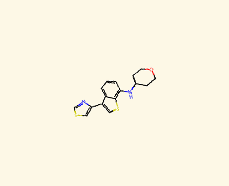 c1cc(NC2CCOCC2)c2scc(-c3cscn3)c2c1